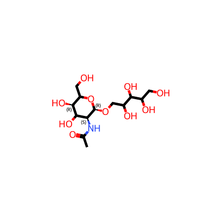 CC(=O)N[C@H]1C(O)[C@@H](O)C(CO)O[C@H]1OCC(O)C(O)C(O)CO